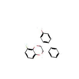 Oc1cccc([C@H]2Oc3c(F)cccc3O[C@H]2c2ccccc2)c1